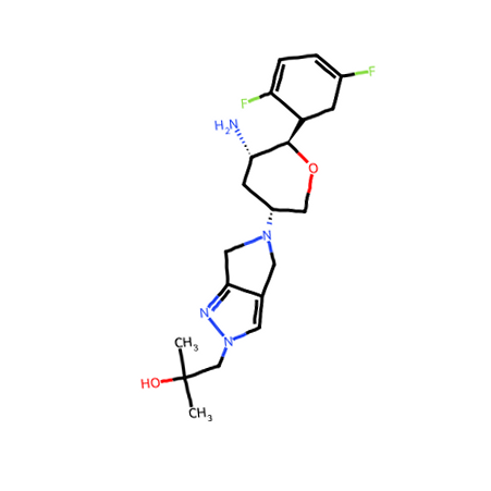 CC(C)(O)Cn1cc2c(n1)CN([C@H]1CO[C@H](C3CC(F)=CC=C3F)[C@@H](N)C1)C2